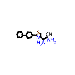 N#C/C(N)=C(/N)c1csc(-c2ccc(-c3ccccc3)cc2)n1